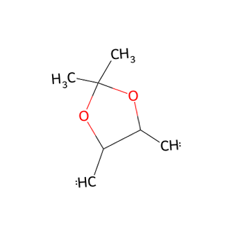 [CH]C1OC(C)(C)OC1[CH]